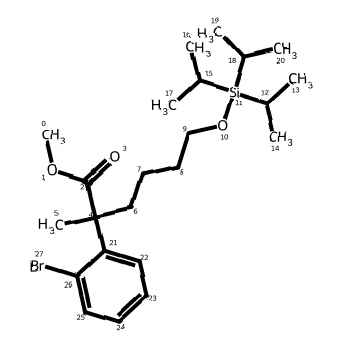 COC(=O)C(C)(CCCCO[Si](C(C)C)(C(C)C)C(C)C)c1ccccc1Br